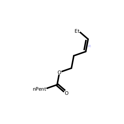 CC/C=C\CCOC(=O)CCCCC